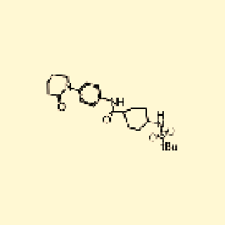 CC(C)(C)S(=O)(=O)NC1CCC(C(=O)Nc2ccc(N3CCCCC3=O)cc2)CC1